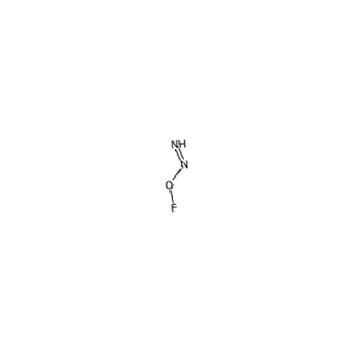 N=NOF